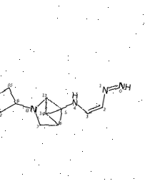 N=N/C=C\NC12C3CN(C4COC4)C1C32